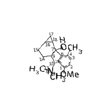 COc1ccc(C)c(C2(O)C(CN(C)C)CCC3CC32)c1